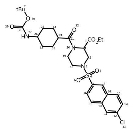 CCOC(=O)C1CN(S(=O)(=O)c2ccc3cc(Cl)ccc3c2)CCN1C(=O)C1CCC(NC(=O)OC(C)(C)C)CC1